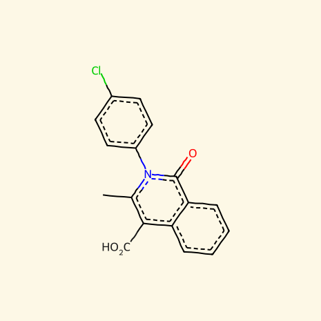 Cc1c(C(=O)O)c2ccccc2c(=O)n1-c1ccc(Cl)cc1